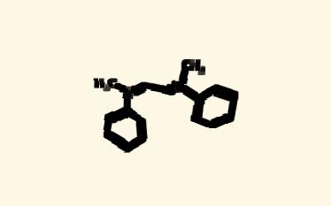 C[Si](=CC=[Si](C)c1ccccc1)c1ccccc1